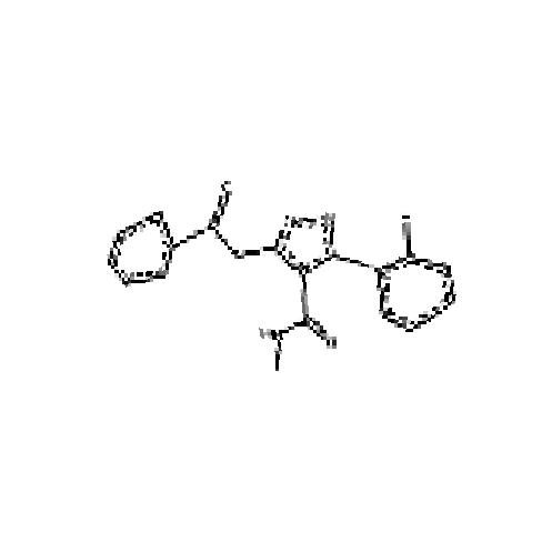 CNC(=O)c1c(-c2ccccc2F)noc1CC(=O)c1ccccc1